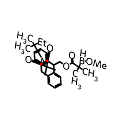 CCC(C)(C)N1C(=O)C2C3c4ccccc4C(COC(=O)C(C)(C)BOC)(c4ccccc43)C2C1=O